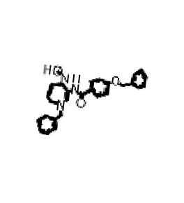 O=C(NC1=CN(Cc2ccccc2)CC=CC1=NO)c1ccc(OCc2ccccc2)cc1